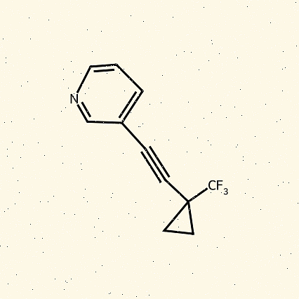 FC(F)(F)C1(C#Cc2cccnc2)CC1